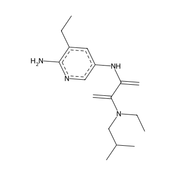 C=C(Nc1cnc(N)c(CC)c1)C(=C)N(CC)CC(C)C